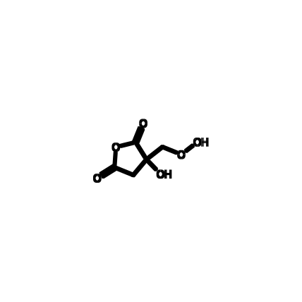 O=C1CC(O)(COO)C(=O)O1